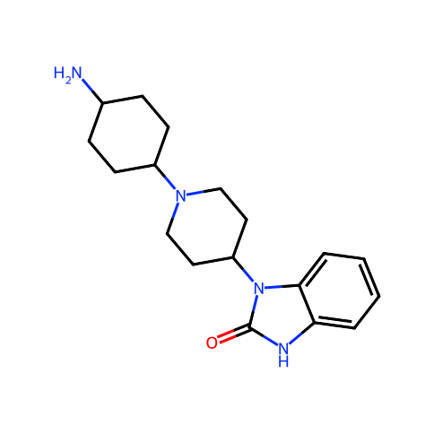 NC1CCC(N2CCC(n3c(=O)[nH]c4ccccc43)CC2)CC1